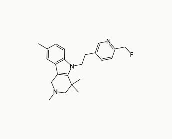 Cc1ccc2c(c1)c1c(n2CCc2ccc(CF)nc2)C(C)(C)CN(C)C1